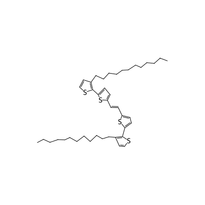 CCCCCCCCCCCCc1ccsc1-c1ccc(/C=C/c2ccc(-c3sccc3CCCCCCCCCCCC)s2)s1